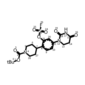 CC(C)(C)OC(=O)N1CCC(c2ccc(N3CCC(=O)NC3=O)cc2OS(=O)(=O)F)CC1